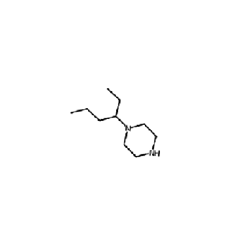 CCCC(CC)N1CCNCC1